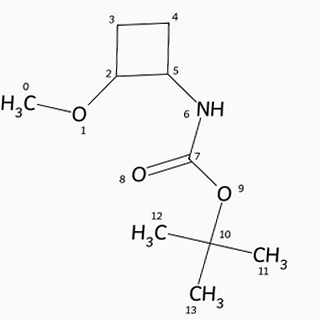 COC1CCC1NC(=O)OC(C)(C)C